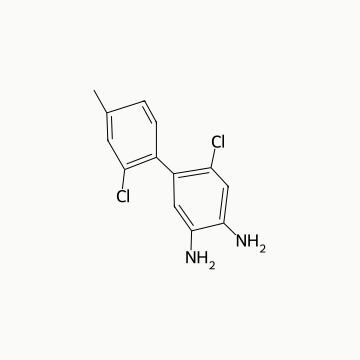 Cc1ccc(-c2cc(N)c(N)cc2Cl)c(Cl)c1